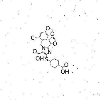 O=C(O)c1c(SC2CCC(C(=O)O)CC2)nc(-c2ccco2)n1Cc1cc2c(cc1Cl)OCO2